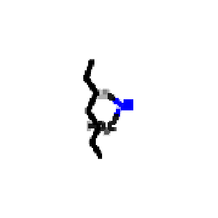 CCCCCCC.CCNC(=O)O